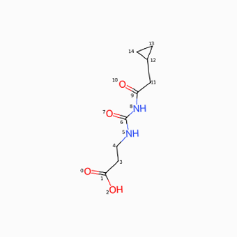 O=C(O)CCNC(=O)NC(=O)CC1CC1